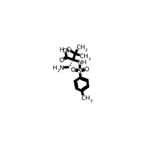 Cc1ccc(S(=O)(=O)N[C@@](CN)(C(=O)O)C(C)(C)C)cc1